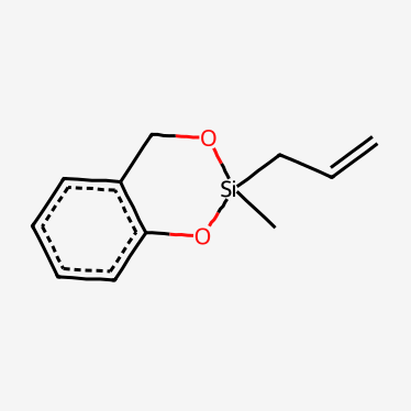 C=CC[Si]1(C)OCc2ccccc2O1